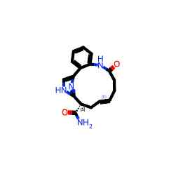 NC(=O)[C@H]1C/C=C/CCC(=O)Nc2ccccc2-c2c[nH]c1n2